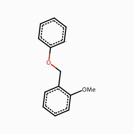 COc1ccccc1COc1[c]cccc1